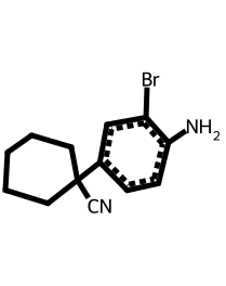 N#CC1(c2ccc(N)c(Br)c2)CCCCC1